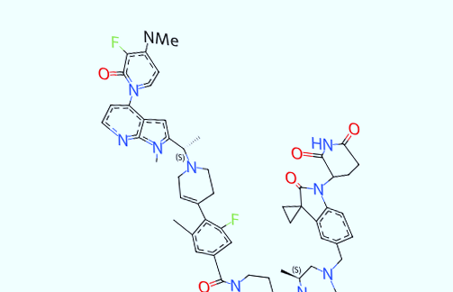 CNc1ccn(-c2ccnc3c2cc([C@H](C)N2CC=C(c4c(C)cc(C(=O)N5CCC(CN6CCN(Cc7ccc8c(c7)C7(CC7)C(=O)N8C7CCC(=O)NC7=O)C[C@@H]6C)CC5)cc4F)CC2)n3C)c(=O)c1F